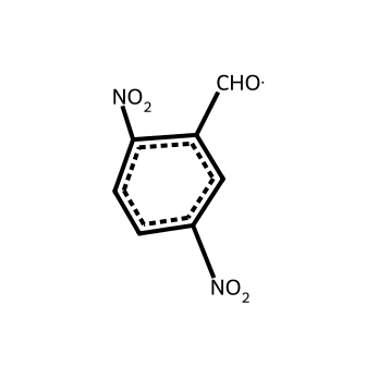 O=[C]c1cc([N+](=O)[O-])ccc1[N+](=O)[O-]